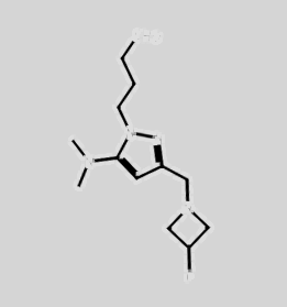 CN(C)c1cc(CN2CC(F)C2)nn1CCCC=O